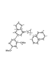 COc1ncc(-c2cc([C@H]3C[C@@H]3c3cccc4ccncc34)c3nccn3n2)c(OC)n1